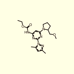 CCOC(=O)Nc1cc(N2CCCC2COC)nc(-n2nc(C)cc2C)n1